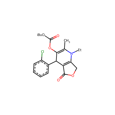 CCN1C(C)=C(OC(=O)OCC(C)C)C(c2ccccc2Cl)C2=C1COC2=O